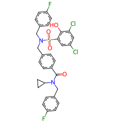 O=C(c1ccc(CN(Cc2ccc(F)cc2)S(=O)(=O)c2cc(Cl)cc(Cl)c2O)cc1)N(Cc1ccc(F)cc1)C1CC1